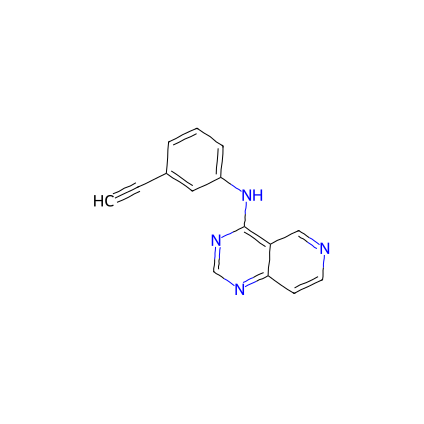 C#Cc1cccc(Nc2ncnc3ccncc23)c1